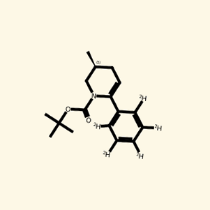 [2H]c1c([2H])c([2H])c(C2=CC[C@H](C)CN2C(=O)OC(C)(C)C)c([2H])c1[2H]